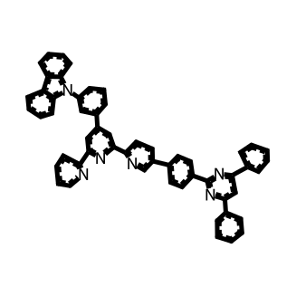 c1ccc(-c2cc(-c3ccccc3)nc(-c3ccc(-c4ccc(-c5cc(-c6cccc(-n7c8ccccc8c8ccccc87)c6)cc(-c6ccccn6)n5)nc4)cc3)n2)cc1